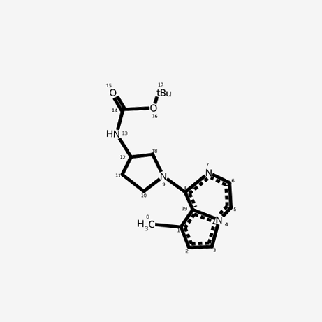 Cc1ccn2ccnc(N3CCC(NC(=O)OC(C)(C)C)C3)c12